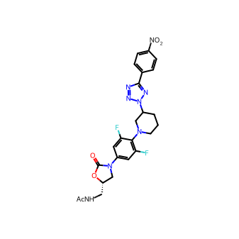 CC(=O)NC[C@H]1CN(c2cc(F)c(N3CCCC(n4nnc(-c5ccc([N+](=O)[O-])cc5)n4)C3)c(F)c2)C(=O)O1